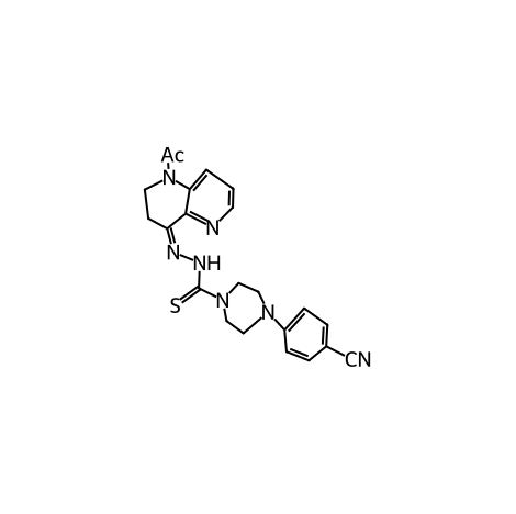 CC(=O)N1CC/C(=N/NC(=S)N2CCN(c3ccc(C#N)cc3)CC2)c2ncccc21